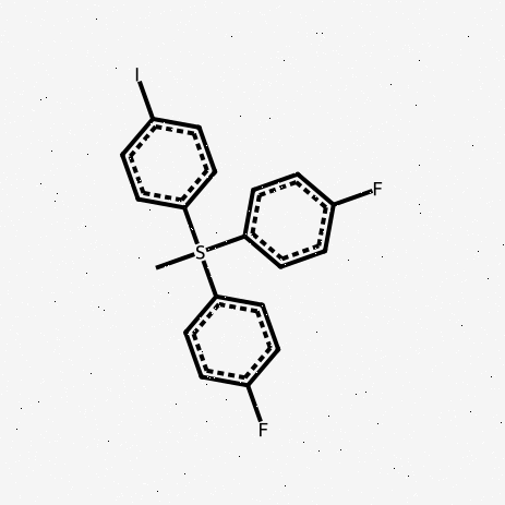 CS(c1ccc(F)cc1)(c1ccc(F)cc1)c1ccc(I)cc1